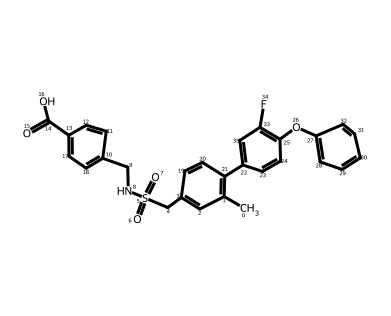 Cc1cc(CS(=O)(=O)NCc2ccc(C(=O)O)cc2)ccc1-c1ccc(Oc2ccccc2)c(F)c1